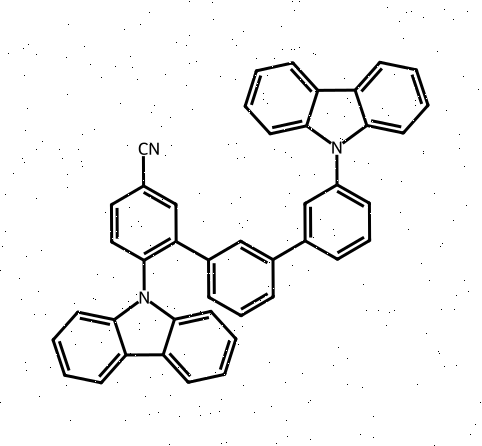 N#Cc1ccc(-n2c3ccccc3c3ccccc32)c(-c2cccc(-c3cccc(-n4c5ccccc5c5ccccc54)c3)c2)c1